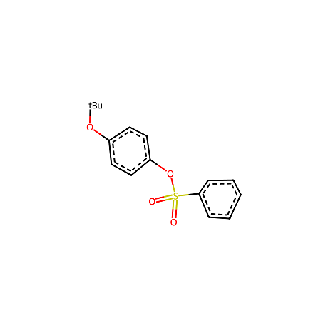 CC(C)(C)Oc1ccc(OS(=O)(=O)c2ccccc2)cc1